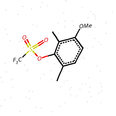 COc1ccc(C)c(OS(=O)(=O)C(F)(F)F)c1C